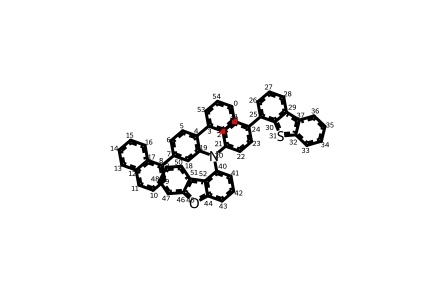 c1ccc(-c2ccc(-c3cccc4ccccc34)cc2N(c2ccc(-c3cccc4c3sc3ccccc34)cc2)c2cccc3oc4ccccc4c23)cc1